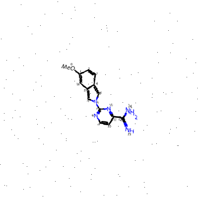 COc1ccc2cn(-c3nccc(C(=N)N)n3)cc2c1